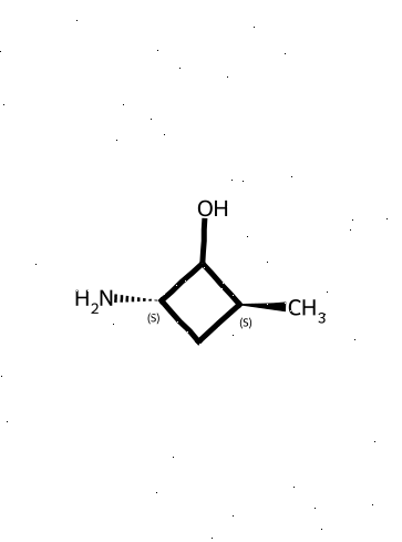 C[C@H]1C[C@H](N)C1O